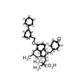 CC1Cc2c(OCc3cc(-c4ccccc4)ccn3)ccc3c2c(c(CC(C)(C)C(=O)O)n3Cc2ccc(Cl)cc2)S1